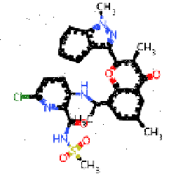 Cc1cc(C(C)Nc2ccc(Cl)nc2C(=O)NS(C)(=O)=O)c2oc(-c3nn(C)c4ccccc34)c(C)c(=O)c2c1